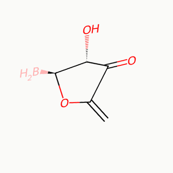 B[C@@H]1OC(=C)C(=O)[C@H]1O